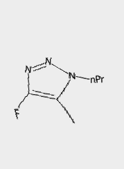 CCCn1nnc(F)c1C